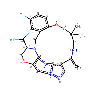 C=C1NCC(C)(C)COc2ccc(F)cc2CN2c3nc4c1cnn4cc3OC[C@H]2C(F)F